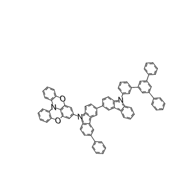 c1ccc(-c2cc(-c3ccccc3)cc(-c3cccc(-n4c5ccccc5c5cc(-c6ccc7c(c6)c6cc(-c8ccccc8)ccc6n7-c6cc7c8c(c6)Oc6ccccc6N8c6ccccc6O7)ccc54)c3)c2)cc1